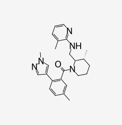 Cc1ccc(-c2cnn(C)c2)c(C(=O)N2CCC[C@@H](C)C2CNc2ncccc2C)c1